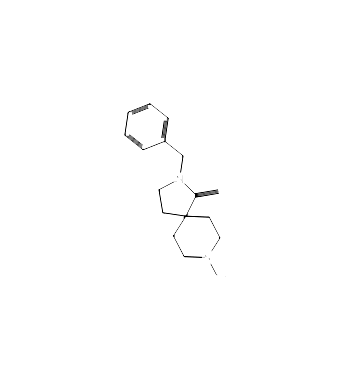 C=C1N(Cc2ccccc2)CCC12CCN(C(C)C)CC2